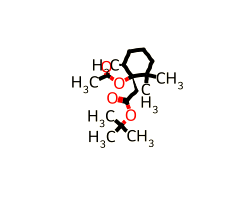 CC(=O)O[C@]1(CC(=O)OC(C)(C)C)[C@H](C)CCCC1(C)C